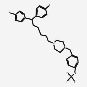 Fc1ccc(C(CCCCCN2CCN(Cc3ccc(OC(F)(F)F)cc3)CC2)c2ccc(F)cc2)cc1